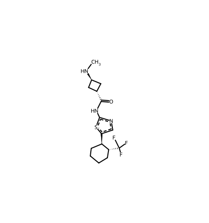 CN[C@H]1C[C@H](C(=O)Nc2ncc([C@@H]3CCCC[C@H]3C(F)(F)F)s2)C1